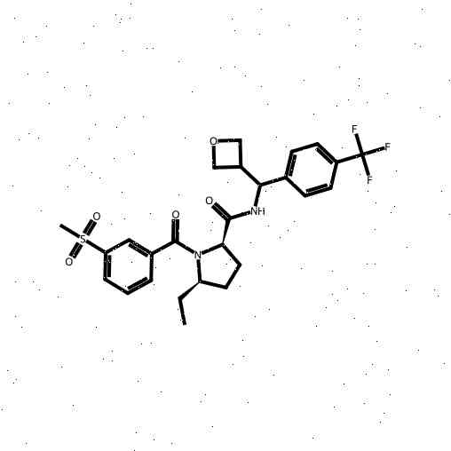 CC[C@@H]1CC[C@H](C(=O)NC(c2ccc(C(F)(F)F)cc2)C2COC2)N1C(=O)c1cccc(S(C)(=O)=O)c1